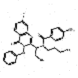 Bc1ccc(C(=O)N(CCCN)C(CC(C)(C)C)c2nc3cc(Cl)ccc3c(=O)n2Nc2ccccc2)cc1